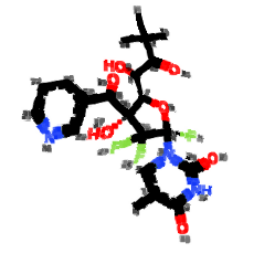 Cc1cn([C@]2(F)O[C@H](C(O)C(=O)C(C)(C)C)[C@](O)(C(=O)c3cccnc3)C2(F)F)c(=O)[nH]c1=O